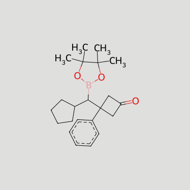 CC1(C)OB(C(C2CCCC2)C2(c3ccccc3)CC(=O)C2)OC1(C)C